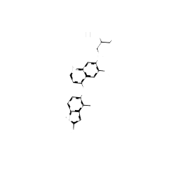 CCC(C)COc1cc2nccc(Oc3ccc4[nH]c(C)cc4c3F)c2cc1OC